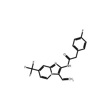 C=Cc1c(NC(=O)Cc2ccc(F)cc2)nc2cc(C(F)(F)F)ccn12